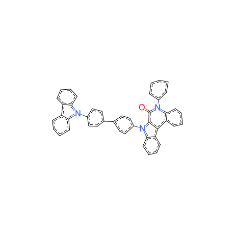 O=c1c2c(c3ccccc3n1-c1ccccc1)c1ccccc1n2-c1ccc(-c2ccc(-n3c4ccccc4c4ccccc43)cc2)cc1